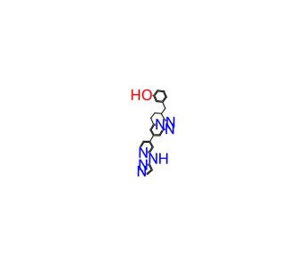 Cn1nccc1Nc1cc(-c2cc3n4c(nnc4c2)C(Cc2cccc(O)c2)CC3)ccn1